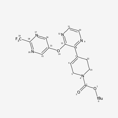 CC(C)(C)OC(=O)N1CC=C(c2nccnc2Oc2cnc(C(F)(F)F)nc2)CC1